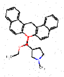 CCOCOc1ccc2ccccc2c1Cc1c(OCC2CCN(C)C2)ccc2ccccc12